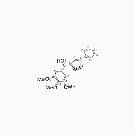 COc1cc(C(O)c2cc(-c3ccccc3)on2)cc(OC)c1OC